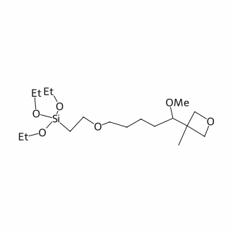 CCO[Si](CCOCCCCC(OC)C1(C)COC1)(OCC)OCC